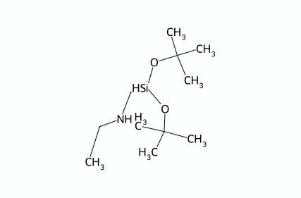 CCNC[SiH](OC(C)(C)C)OC(C)(C)C